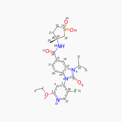 CCOc1cc(-n2c(=O)n(C(C)C)c3cc(C(=O)N[C@]4(C)CCS(=O)(=O)C4)ccc32)c(F)cn1